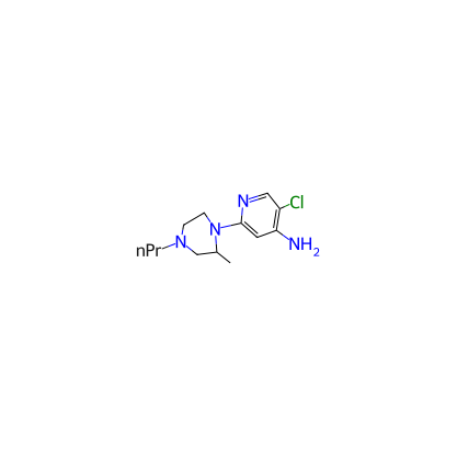 CCCN1CCN(c2cc(N)c(Cl)cn2)C(C)C1